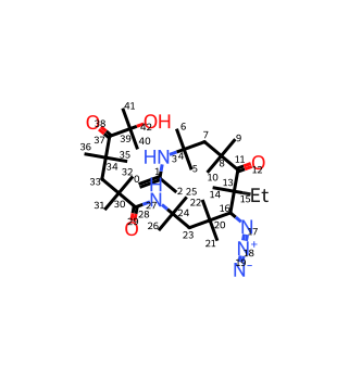 C=C(C)NC(C)(C)CC(C)(C)C(=O)C(C)(CC)C(N=[N+]=[N-])C(C)(C)CC(C)(C)NC(=O)C(C)(C)CC(C)(C)C(=O)C(C)(C)O